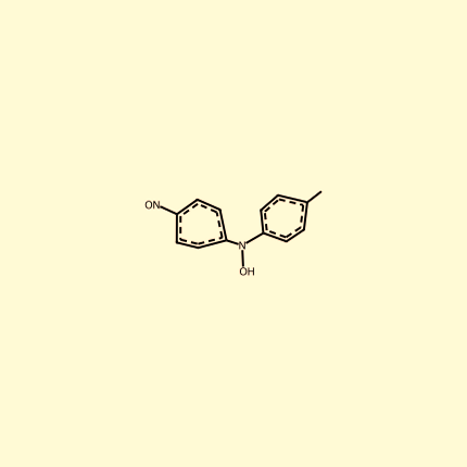 Cc1ccc(N(O)c2ccc(N=O)cc2)cc1